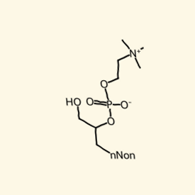 CCCCCCCCCCC(CO)OP(=O)([O-])OCC[N+](C)(C)C